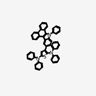 c1ccc(N(c2ccccc2)c2cc(-c3ccc4c(c3)c3c5ccccc5c5ccccc5c3n4-c3ccccc3)c(N(c3ccccc3)c3ccccc3)s2)cc1